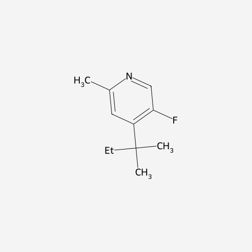 CCC(C)(C)c1cc(C)ncc1F